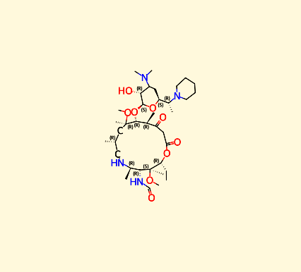 CC[C@H]1OC(=O)CC(=O)[C@H](C)[C@@H](O[C@@H]2O[C@H]([C@@H](C)N3CCCCC3)CC(N(C)C)[C@H]2O)[C@](C)(OC)C[C@@H](C)CN[C@H](C)[C@@H](NC=O)[C@]1(C)OC